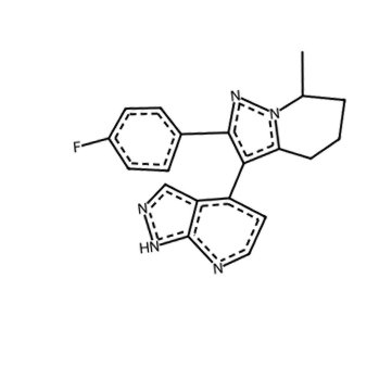 CC1CCCc2c(-c3ccnc4[nH]ncc34)c(-c3ccc(F)cc3)nn21